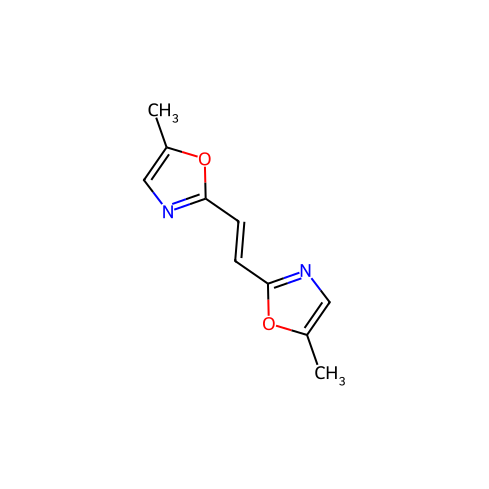 Cc1cnc(/C=C/c2ncc(C)o2)o1